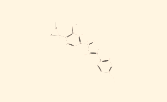 CCC1CC1c1ccc(-c2noc(-c3ccc(C(C)=O)cc3)n2)cc1C(C)(C)C